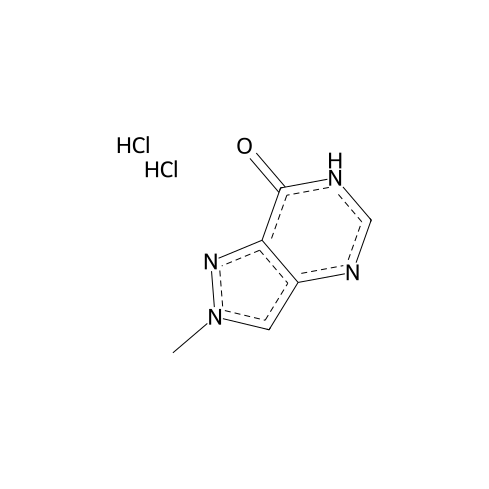 Cl.Cl.Cn1cc2nc[nH]c(=O)c2n1